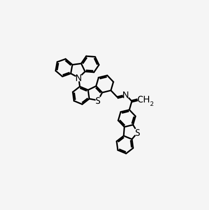 C=C(/N=C/C1CC=Cc2c1sc1cccc(-n3c4ccccc4c4ccccc43)c21)c1ccc2c(c1)sc1ccccc12